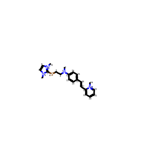 CN(CCSc1n(C)cc[n+]1C)c1ccc(/C=C/c2cccc[n+]2C)cc1